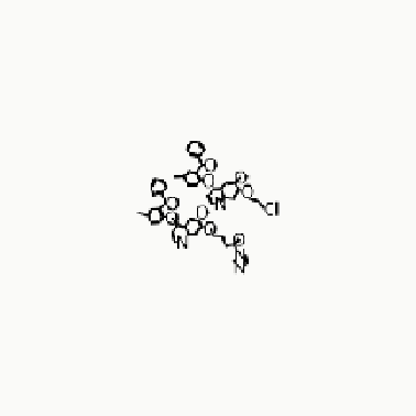 COc1cc2c(Oc3ccc(C)cc3C(=O)c3ccccc3)ccnc2cc1OCCCC(=O)n1ccnc1.COc1cc2c(Oc3ccc(C)cc3C(=O)c3ccccc3)ccnc2cc1OCCCCl